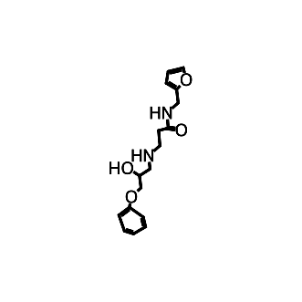 O=C(CCNCC(O)COc1ccccc1)NCc1ccco1